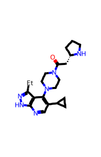 CCc1n[nH]c2ncc(C3CC3)c(N3CCN(C(=O)C[C@@H]4CCCN4)CC3)c12